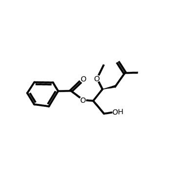 C=C(C)C[C@H](OC)C(CO)OC(=O)c1ccccc1